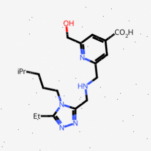 CCc1nnc(CNCc2cc(C(=O)O)cc(CO)n2)n1CCCC(C)C